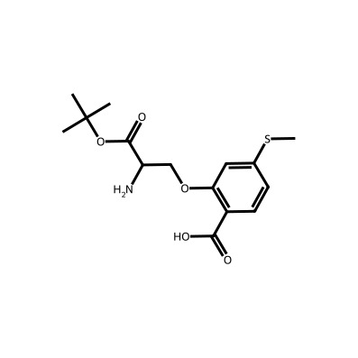 CSc1ccc(C(=O)O)c(OCC(N)C(=O)OC(C)(C)C)c1